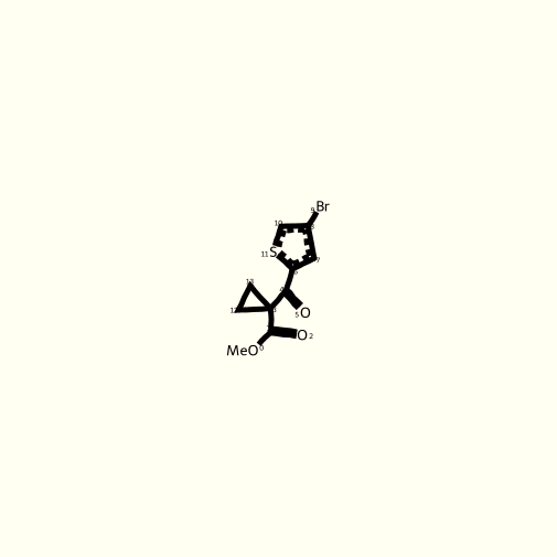 COC(=O)C1(C(=O)c2cc(Br)cs2)CC1